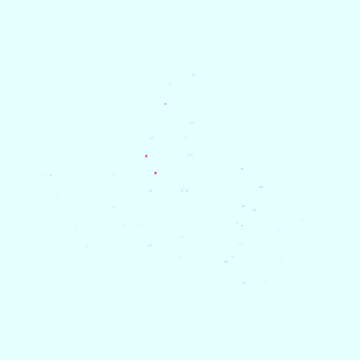 c1ccc(-c2ccccc2-c2ccccc2-c2ccccc2N(c2ccc3sc4ccccc4c3c2)c2cccc3c2-c2ccccc2C32c3ccccc3-c3ccccc32)cc1